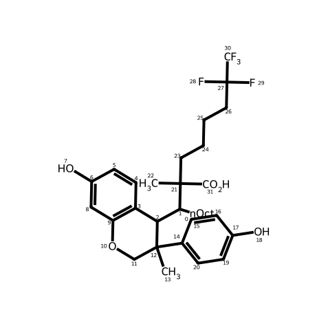 CCCCCCCCC(C1c2ccc(O)cc2OCC1(C)c1ccc(O)cc1)C(C)(CCCCC(F)(F)C(F)(F)F)C(=O)O